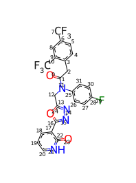 O=C(Cc1ccc(C(F)(F)F)cc1C(F)(F)F)N(Cc1nnc(-c2ccc[nH]c2=O)o1)c1ccc(F)cc1